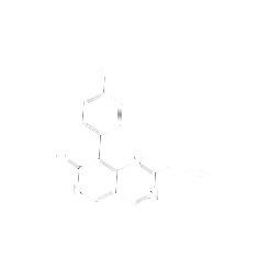 CCCOc1ncc2c[nH]c(=O)c(-c3ccc(Cl)cc3)c2n1